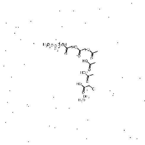 CC(=O)O.CC(=O)O.CC(=O)O.CC(=O)O.CC(=O)O.O.O.O.O.O.O.O=C(O)CCl